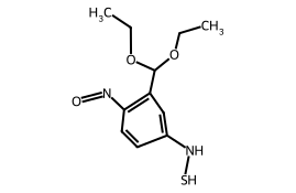 CCOC(OCC)c1cc(NS)ccc1N=O